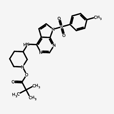 Cc1ccc(S(=O)(=O)n2ccc3c(NC4CCCN(OC(=O)C(C)(C)C)C4)ncnc32)cc1